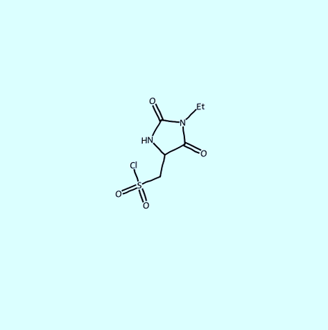 CCN1C(=O)NC(CS(=O)(=O)Cl)C1=O